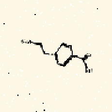 CNCCc1ccc(C(=O)N=O)cc1